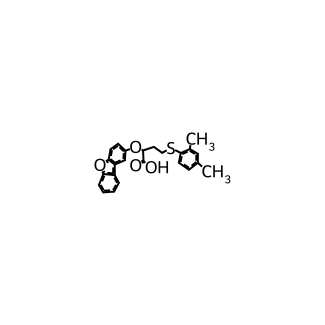 Cc1ccc(SCCC(Oc2ccc3oc4ccccc4c3c2)C(=O)O)c(C)c1